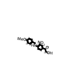 COc1ccc(CNc2ccc(C(=O)CO)cc2[N+](=O)[O-])cc1